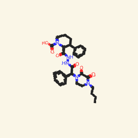 CCCCN1CCN(C(C(=O)NNC(=O)C2C(c3ccccc3)CCCN2C(=O)O)c2ccccc2)C(=O)C1=O